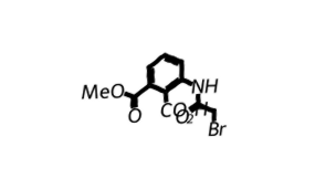 COC(=O)c1cccc(NC(=O)CBr)c1C(=O)O